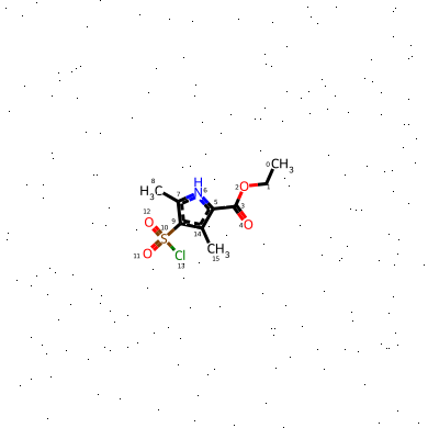 CCOC(=O)c1[nH]c(C)c(S(=O)(=O)Cl)c1C